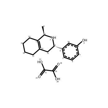 C[C@H]1N[C@H](c2cccc(O)c2)CC2=C1CCCC2.O=C(O)C(=O)O